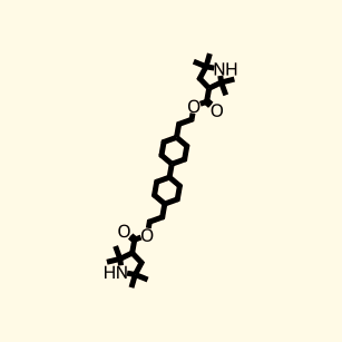 CC1(C)CC(C(=O)OCCC2CCC(C3CCC(CCOC(=O)C4CC(C)(C)NC4(C)C)CC3)CC2)C(C)(C)N1